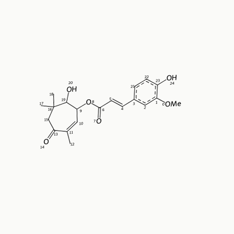 COc1cc(C=CC(=O)OC2C=C(C)C(=O)CC(C)(C)C2O)ccc1O